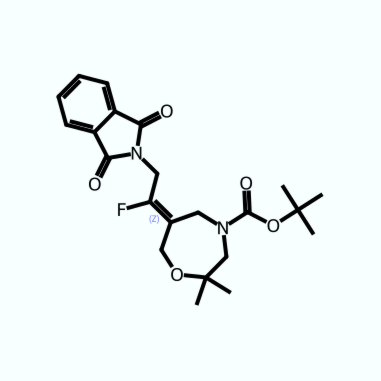 CC(C)(C)OC(=O)N1C/C(=C(/F)CN2C(=O)c3ccccc3C2=O)COC(C)(C)C1